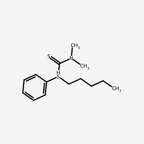 CCCCC[SH](C(=S)N(C)C)c1ccccc1